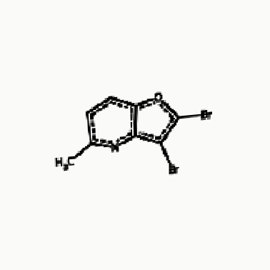 Cc1ccc2oc(Br)c(Br)c2n1